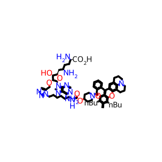 C=c1c(CCCC)cc2c(c1CCCC)Oc1c(cc3c4c1CCCN4CCC3)C=2c1ccccc1C(=O)N1CCC(OC(=O)NCCCCCCn2nncc2CO[C@@H]2[C@H](O)[C@@H](C[C@@H](N)CC[C@H](N)C(=O)O)O[C@H]2n2cnc3c(N)ncnc32)CC1